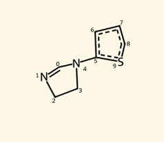 C1=NCCN1c1cccs1